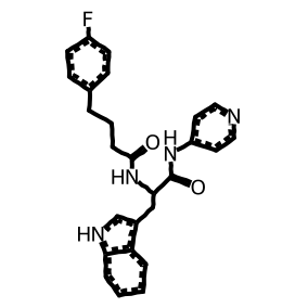 O=C(CCCc1ccc(F)cc1)NC(Cc1c[nH]c2ccccc12)C(=O)Nc1ccncc1